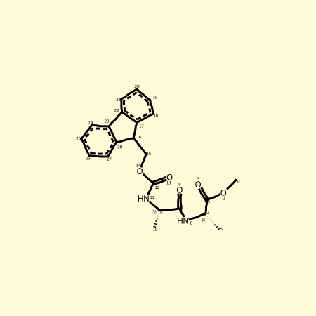 COC(=O)[C@H](C)NC(=O)[C@H](C)NC(=O)OCC1c2ccccc2-c2ccccc21